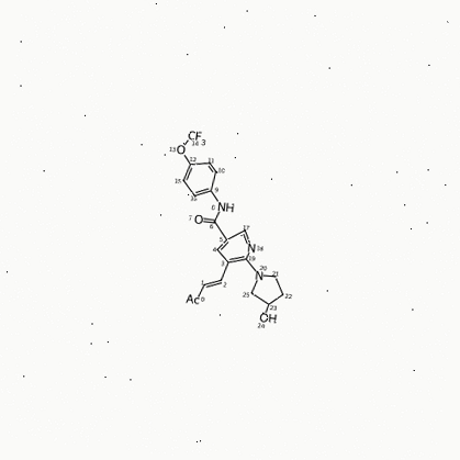 CC(=O)C=Cc1cc(C(=O)Nc2ccc(OC(F)(F)F)cc2)cnc1N1CCC(O)C1